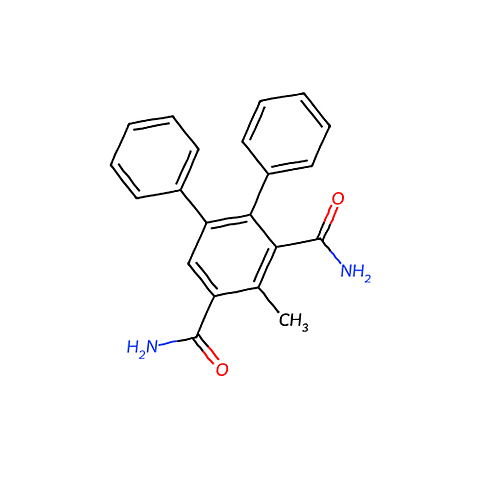 Cc1c(C(N)=O)cc(-c2ccccc2)c(-c2ccccc2)c1C(N)=O